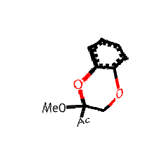 COC1(C(C)=O)COc2ccccc2O1